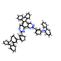 c1cc(-c2ccc3c4ccccc4c4ccccc4c3c2)cc(-c2ncc3c(n2)c2nc(-c4cccc(-n5c6ccccc6c6ccccc65)c4)ncc2c2c4ccccc4c4ccccc4c32)c1